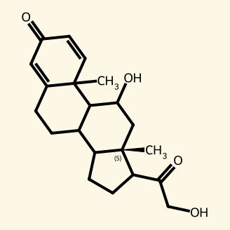 CC12C=CC(=O)C=C1CCC1C2C(O)C[C@]2(C)C(C(=O)CO)CCC12